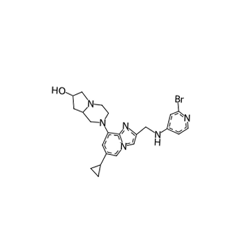 OC1CC2CN(c3cc(C4CC4)cn4cc(CNc5ccnc(Br)c5)nc34)CCN2C1